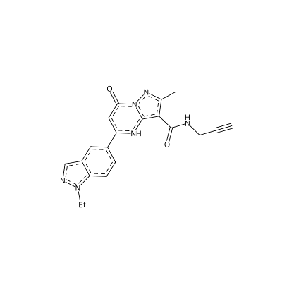 C#CCNC(=O)c1c(C)nn2c(=O)cc(-c3ccc4c(cnn4CC)c3)[nH]c12